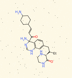 CCC(Cc1ccc2c(c1)NC=NC2(N)C(=O)C=CC1CCC(N)CC1)[C@@H]1NCCNC1=O